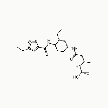 CCc1cc(C(=O)N[C@@H]2CC[C@@H](NC(=O)C[C@@H](C)NC(=O)O)C[C@@H]2CC)no1